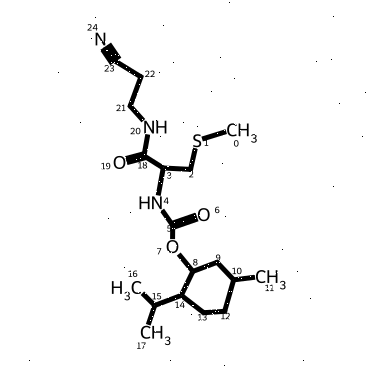 CSCC(NC(=O)OC1CC(C)CCC1C(C)C)C(=O)NCCC#N